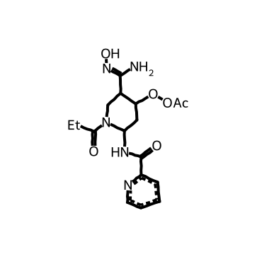 CCC(=O)N1CC(C(N)=NO)C(OOC(C)=O)CC1NC(=O)c1ccccn1